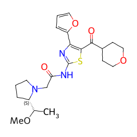 COC(C)[C@@H]1CCCN1CC(=O)Nc1nc(-c2ccco2)c(C(=O)C2CCOCC2)s1